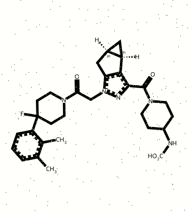 Cc1cccc(C2(F)CCN(C(=O)Cn3nc(C(=O)N4CCC(NC(=O)O)CC4)c4c3C[C@H]3C[C@@H]43)CC2)c1C